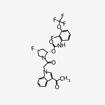 CC(=O)c1cn(CC(=O)N2C[C@H](F)C[C@@H]2OC(=O)Nc2cccc(OC(F)(F)F)c2F)c2ccccc12